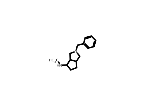 O=C(O)NC1CCC2CN(Cc3ccccc3)CC21